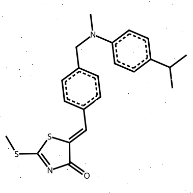 CSC1=NC(=O)C(=Cc2ccc(CN(C)c3ccc(C(C)C)cc3)cc2)S1